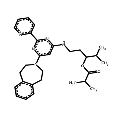 CC(C)C(=O)OC(CCNc1cc(N2CCc3ccccc3CC2)nc(-c2ccccn2)n1)C(C)C